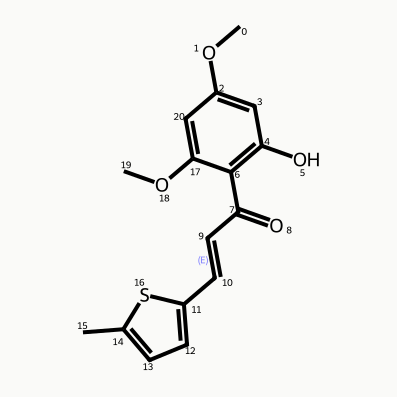 COc1cc(O)c(C(=O)/C=C/c2ccc(C)s2)c(OC)c1